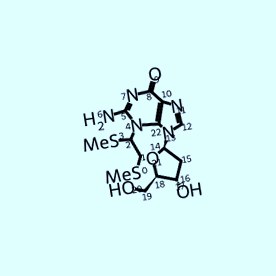 CSCC(SC)n1c(N)nc(=O)c2ncn([C@H]3C[C@H](O)[C@@H](CO)O3)c21